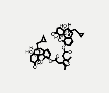 Cc1sc(C)c(CC(=O)Oc2ccc3c4c2O[C@H]2C(=O)CC[C@@]5(O)[C@@H](C3)N(CC3CC3)CC[C@]425)c1CC(=O)Oc1ccc2c3c1O[C@H]1C(=O)CC[C@@]4(O)[C@@H](C2)N(CC2CC2)CC[C@]314